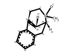 C[N+]1([O-])CC[C@]23C=CCC[C@H]2[C@H]1Cc1ccccc13